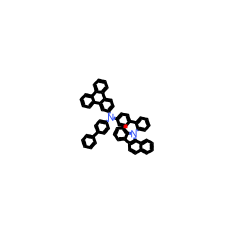 c1ccc(-c2ccc(N(c3ccc(-c4ccccc4-n4c5ccccc5c5ccc6ccccc6c54)cc3)c3ccc4c5ccccc5c5ccccc5c4c3)cc2)cc1